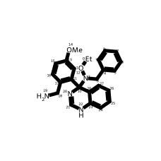 CCON(Cc1ccccc1)C1(c2cc(OC)ccc2CN)N=CNc2ccccc21